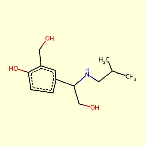 CC(C)CNC(CO)c1ccc(O)c(CO)c1